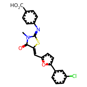 CN1C(=O)/C(=C/c2ccc(-c3cccc(Cl)c3)o2)S/C1=N/c1ccc(C(=O)O)cc1